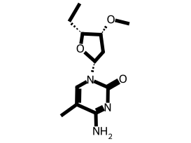 CC[C@H]1O[C@@H](n2cc(C)c(N)nc2=O)C[C@H]1OC